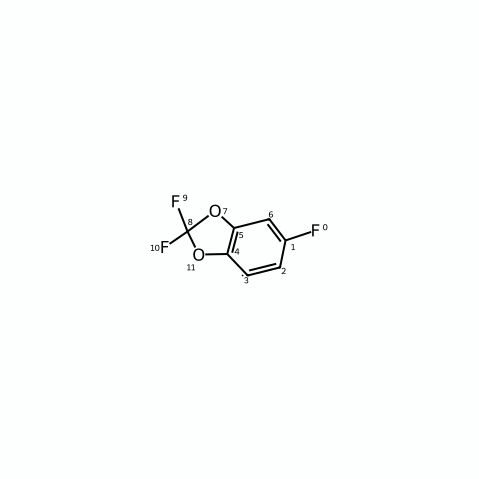 Fc1c[c]c2c(c1)OC(F)(F)O2